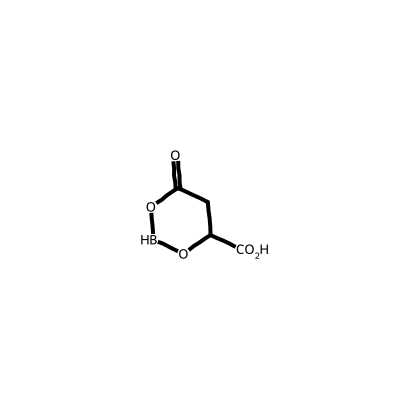 O=C1CC(C(=O)O)OBO1